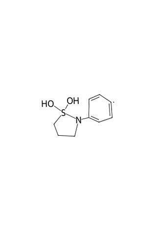 OS1(O)CCCN1c1cc[c]cc1